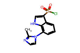 Cc1nccn1-c1cccc2c(S(=O)(=O)Cl)c[nH]c12